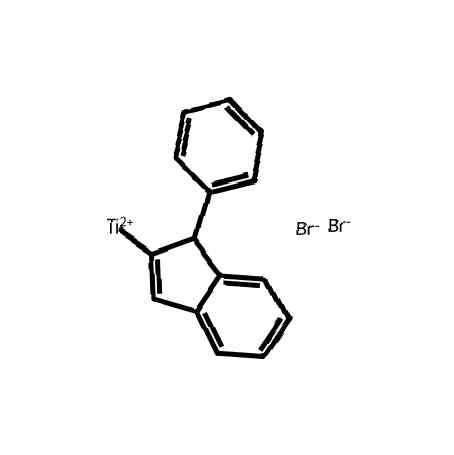 [Br-].[Br-].[Ti+2][C]1=Cc2ccccc2C1c1ccccc1